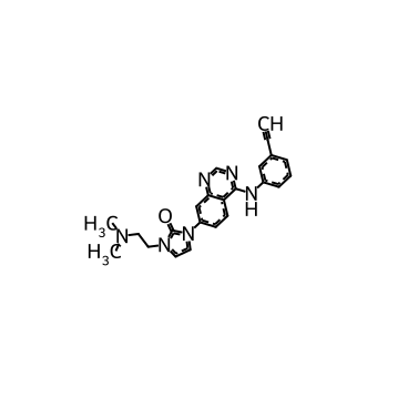 C#Cc1cccc(Nc2ncnc3cc(-n4ccn(CCN(C)C)c4=O)ccc23)c1